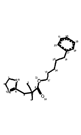 CC(C)(CC1=NCCS1)C(=O)OCCCCCc1ccccc1